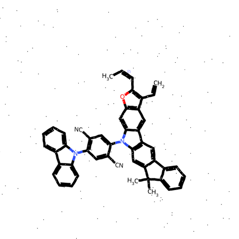 C=Cc1c(/C=C\C)oc2cc3c(cc12)c1cc2c(cc1n3-c1cc(C#N)c(-n3c4ccccc4c4ccccc43)cc1C#N)C(C)(C)c1ccccc1-2